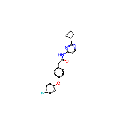 O=C(Cc1ccc(Oc2ccc(F)cc2)cc1)Nc1ccnc(C2CCC2)n1